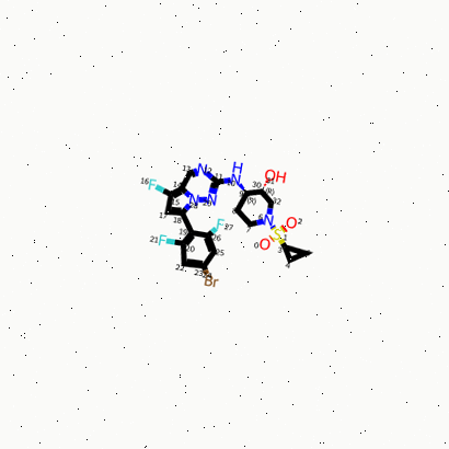 O=S(=O)(C1CC1)N1CC[C@@H](Nc2ncc3c(F)cc(-c4c(F)cc(Br)cc4F)n3n2)[C@H](O)C1